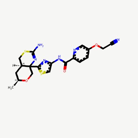 C[C@H]1C[C@H]2CSC(N)=NC2(c2nc(NC(=O)c3ccc(OCC#N)cn3)cs2)CO1